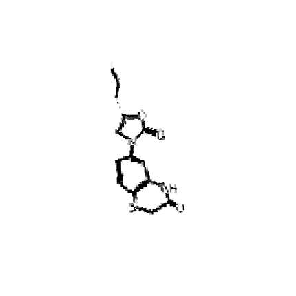 O=C1CSc2ccc(N3C[C@H](CCI)OC3=O)cc2N1